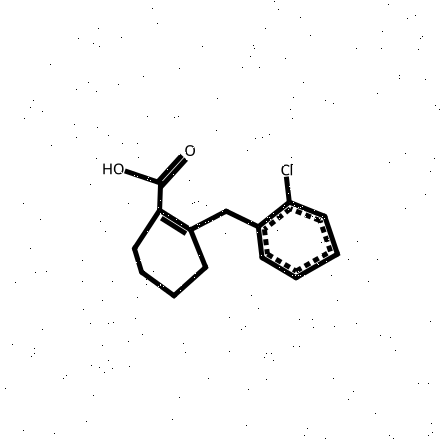 O=C(O)C1=C(Cc2ccccc2Cl)CCCC1